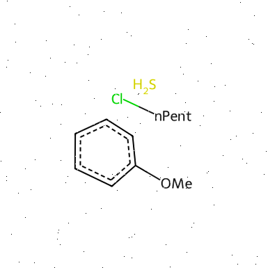 CCCCCCl.COc1ccccc1.S